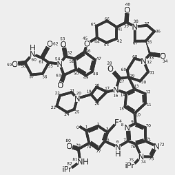 Cc1cc(F)c(Nc2nc(-c3ccc4c(c3)N(C3CC(N5CCCCC5)C3)C(=O)C43CCN(C(=O)[C@@H]4CCN(C(=O)C5CCC(Oc6cccc7c6C(=O)N(C6CCC(=O)NC6=O)C7=O)CC5)C4)CC3)cc3ncn(C(C)C)c23)cc1C(=O)NC(C)C